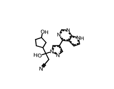 N#CCC(O)(C1CCC(O)C1)n1cc(-c2ncnc3[nH]ccc23)cn1